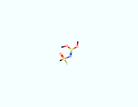 COS(=NP(C)(=O)F)OC